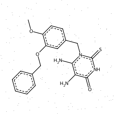 COc1ccc(Cn2c(N)c(N)c(=O)[nH]c2=S)cc1OCc1ccccc1